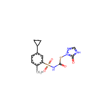 O=C(NS(=O)(=O)c1cc(C2CC2)ccc1C(=O)O)Sn1nc[nH]c1=O